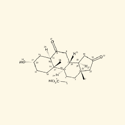 CC(=O)O.C[C@@]12CC[C@@H]3[C@H](CC(=O)[C@@H]4C[C@@H](O)CC[C@@]34C)[C@H]1CC(=O)C2